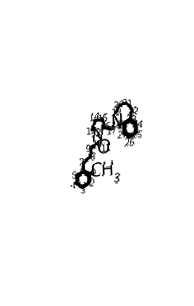 Cc1ccccc1CCCC(=O)N1CCCC1CN1CCCCc2ccccc21